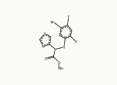 CC(C)(C)OC(=O)N(Sc1cc(Br)c(F)cc1F)c1cscn1